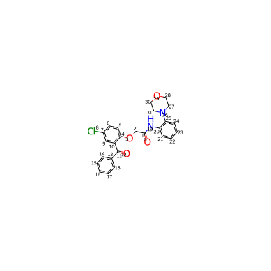 O=C(COc1ccc(Cl)cc1C(=O)c1ccccc1)Nc1ccccc1N1CCOCC1